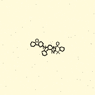 CC1(C)c2ccccc2C(=O)n2c1nc1c3c4ccccc4n(-c4ccc5oc6ccccc6c5c4)c3ccc12